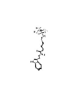 CC(C)(C)S(=O)(=O)NCCCCC(=O)NCCc1c[nH]c2ccccc12